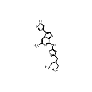 CCN(CC)Cc1cc(Nc2nc(C)cn3c(-c4cn[nH]c4)cnc23)sn1